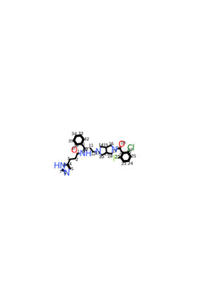 O=C(CCc1cnc[nH]1)N[C@@H](CCN1CC2CN(C(=O)c3c(F)cccc3Cl)CC2C1)c1ccccc1